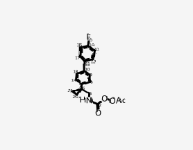 CC(=O)OOC(=O)NCC1(c2ccc(-c3ccc(F)cc3)cc2)CC1